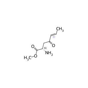 C/C=C/C(=O)C[C@H](N)C(=O)OC